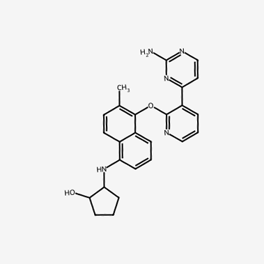 Cc1ccc2c(NC3CCCC3O)cccc2c1Oc1ncccc1-c1ccnc(N)n1